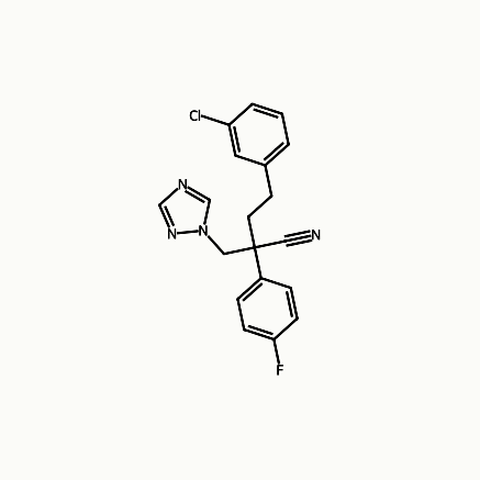 N#CC(CCc1cccc(Cl)c1)(Cn1cncn1)c1ccc(F)cc1